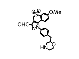 COc1ccc2c(c1)S(=O)(=O)Cc1c(C=O)nn(-c3ccc(CC4CNCCO4)cc3)c1-2